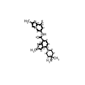 Cc1cn2cc(NC(=O)c3ccc(N4CCC(C)(N)CC4)c4cn(C)nc34)cc(F)c2n1